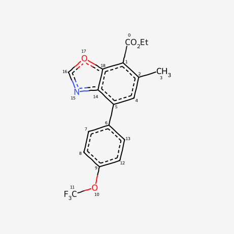 CCOC(=O)c1c(C)cc(-c2ccc(OC(F)(F)F)cc2)c2ncoc12